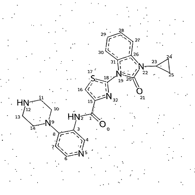 O=C(Nc1cnccc1N1CCNCC1)c1csc(-n2c(=O)n(C3CC3)c3ccccc32)n1